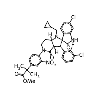 COC(=O)C(C)(C)c1ccc(N2CC[C@H]3[C@@H](C2=O)[C@H](c2cccc(Cl)c2F)[C@]2(C(=O)Nc4cc(Cl)ccc42)N3CC2CC2)c([N+](=O)[O-])c1